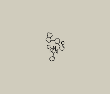 Clc1nc(-c2ccccc2)nc(-c2cccc3oc4ccc(-c5cccc6ccccc56)cc4c23)n1